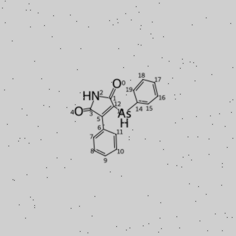 O=C1NC(=O)C(c2ccccc2)=C1[AsH]c1ccccc1